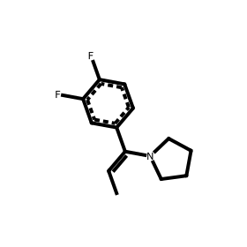 C/C=C(/c1ccc(F)c(F)c1)N1CCCC1